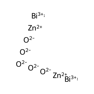 [Bi+3].[Bi+3].[O-2].[O-2].[O-2].[O-2].[O-2].[Zn+2].[Zn+2]